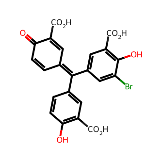 O=C(O)C1=CC(=C(c2ccc(O)c(C(=O)O)c2)c2cc(Br)c(O)c(C(=O)O)c2)C=CC1=O